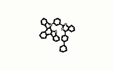 c1ccc(-c2ccc(-c3nc(-c4cccc(-n5c6ccccc6c6c7ccccc7c7c8ccccc8sc7c65)c4)nc4ccccc34)cc2)cc1